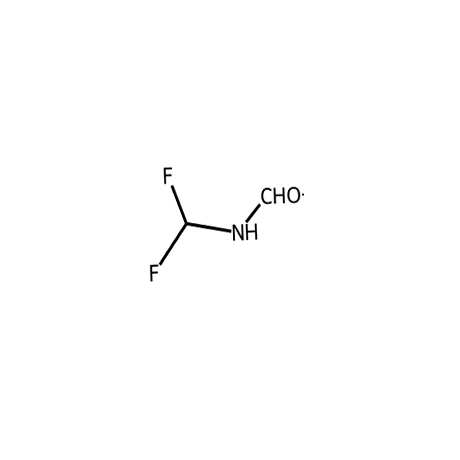 O=[C]NC(F)F